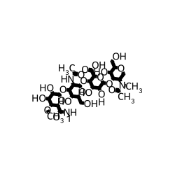 COC1C(C(=O)NI)OC(OC2C(O)C(CO)OC(OC3C(C(=O)O)OC(OC4C(O)C(CO)OCC4N(C)C(C)=O)C(O)C3O)C2NC(C)=O)C(O)C1O